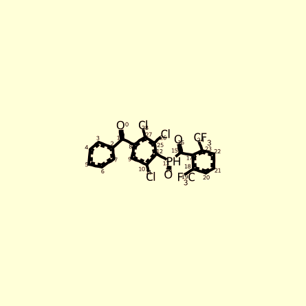 O=C(c1ccccc1)c1cc(Cl)c([PH](=O)C(=O)c2c(C(F)(F)F)cccc2C(F)(F)F)c(Cl)c1Cl